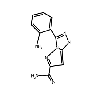 NC(=O)c1cc2[nH]nc(-c3ccccc3N)n2n1